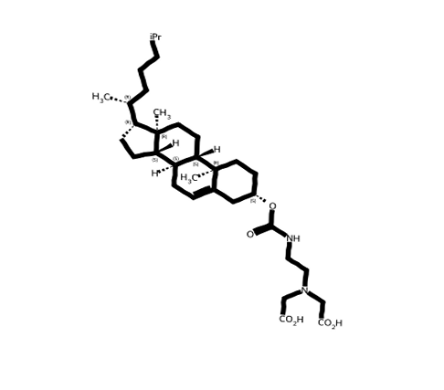 CC(C)CCC[C@@H](C)[C@H]1CC[C@H]2[C@@H]3CC=C4C[C@@H](OC(=O)NCCN(CC(=O)O)CC(=O)O)CC[C@]4(C)[C@H]3CC[C@]12C